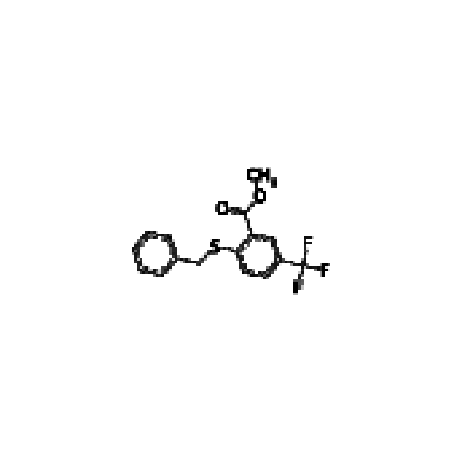 COC(=O)c1cc(C(F)(F)F)ccc1SCc1ccccc1